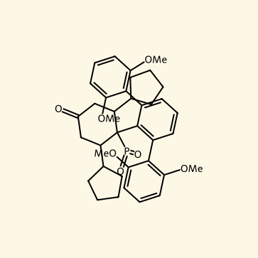 COc1cccc(OC)c1-c1cccc(-c2c(OC)cccc2OC)c1C1(P(=O)=O)C(C2CCCC2)CC(=O)CC1C1CCCC1